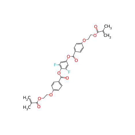 C=C(C)C(=O)OCCOc1ccc(C(=O)Oc2cc(F)c(OC(=O)c3ccc(OCCOC(=O)C(=C)C)cc3)c(F)c2)cc1